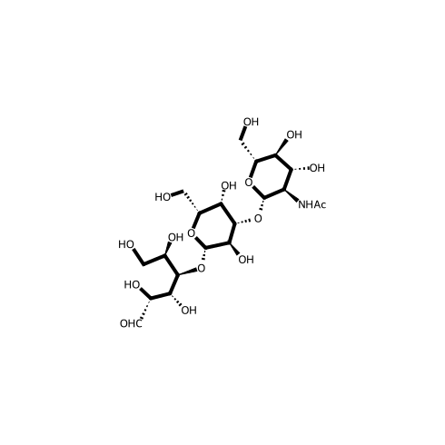 CC(=O)N[C@H]1[C@H](O[C@H]2[C@@H](O)[C@@H](CO)O[C@@H](O[C@@H]([C@H](O)[C@@H](O)C=O)[C@H](O)CO)[C@@H]2O)O[C@H](CO)[C@@H](O)[C@@H]1O